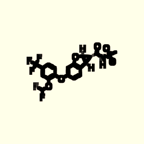 CS(=O)(=O)NC(=O)[C@H]1[C@@H]2Oc3cc(Oc4ccc(C(F)(F)F)cc4OC(F)F)ccc3[C@@H]21